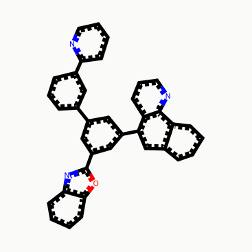 c1ccc(-c2cccc(-c3cc(-c4nc5ccccc5o4)cc(-c4cc5ccccc5c5ncccc45)c3)c2)nc1